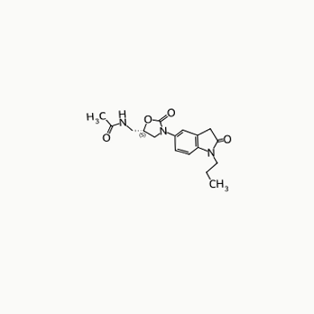 CCCN1C(=O)Cc2cc(N3C[C@H](CNC(C)=O)OC3=O)ccc21